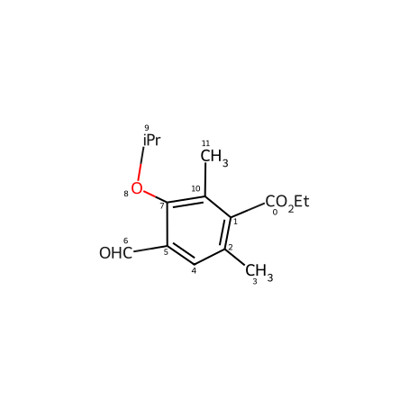 CCOC(=O)c1c(C)cc(C=O)c(OC(C)C)c1C